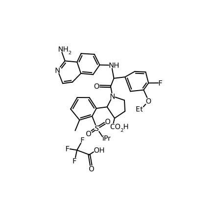 CCOc1cc(C(Nc2ccc3c(N)nccc3c2)C(=O)N2CCC(C(=O)O)C2c2cccc(C)c2S(=O)(=O)C(C)C)ccc1F.O=C(O)C(F)(F)F